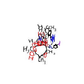 CC[C@H]1OC(=O)C[C@@H](O)[C@H](C)[C@@H](O[C@@H]2O[C@H](C)[C@@H](O)C(N(C)C)C2O)[C@@H](CCN(CCn2cc(-c3ccc(C(C)(C)C)cc3)nn2)Cc2ccc(I)cc2)C[C@@H](C)C(=O)/C=C/C(C)=C/[C@@H]1CO